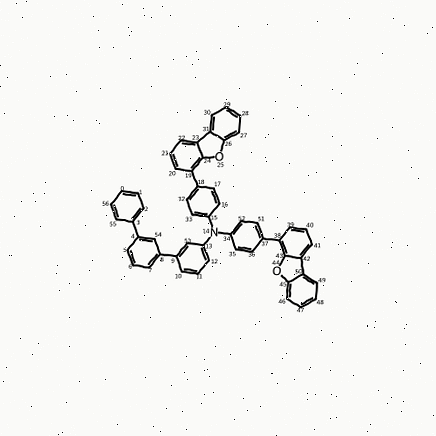 c1ccc(-c2cccc(-c3cccc(N(c4ccc(-c5cccc6c5oc5ccccc56)cc4)c4ccc(-c5cccc6c5oc5ccccc56)cc4)c3)c2)cc1